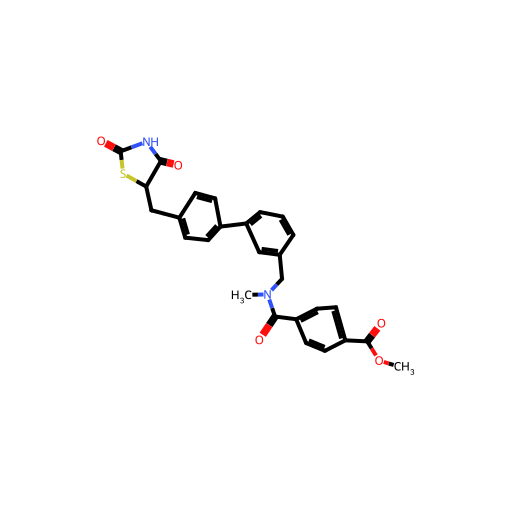 COC(=O)c1ccc(C(=O)N(C)Cc2cccc(-c3ccc(CC4SC(=O)NC4=O)cc3)c2)cc1